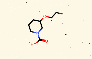 O=C(O)N1CCCC(OCCI)C1